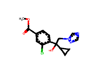 COC(=O)c1ccc(C(O)(Cn2cncn2)C2CC2)c(Cl)c1